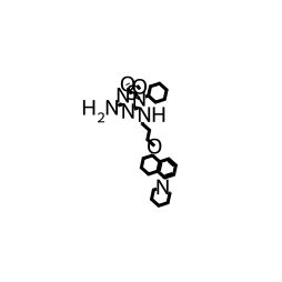 NC1=NS(=O)(=O)N(C2CCCCC2)C(NCCCOC2CCCc3c2cccc3N2CCCCC2)=N1